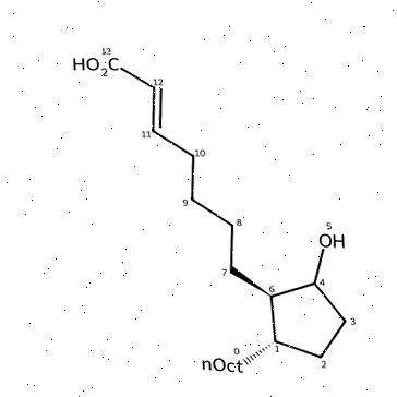 CCCCCCCC[C@H]1CCC(O)[C@@H]1CCCCC=CC(=O)O